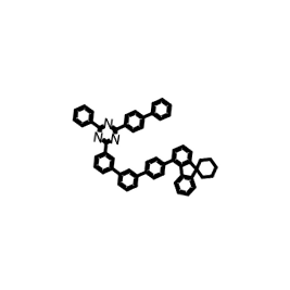 c1ccc(-c2ccc(-c3nc(-c4ccccc4)nc(-c4cccc(-c5cccc(-c6ccc(-c7cccc8c7-c7ccccc7C87CCCCC7)cc6)c5)c4)n3)cc2)cc1